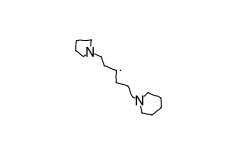 [CH](CCCN1CCCCC1)CCN1CCCC1